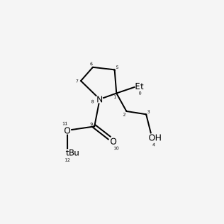 CCC1(CCO)CCCN1C(=O)OC(C)(C)C